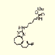 CC(C)(C)OC(=O)NCCCCNc1nc2c(s1)CCCc1ccc(F)cc1-2